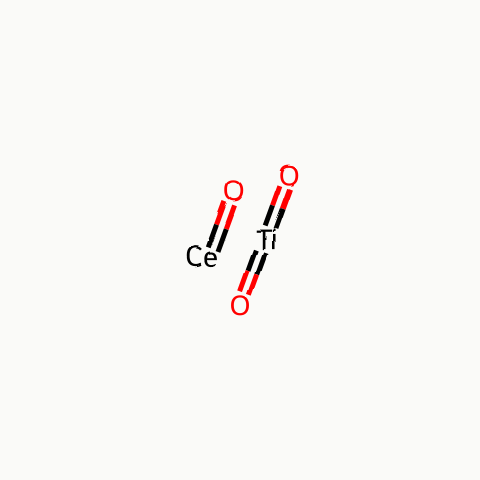 [O]=[Ce].[O]=[Ti]=[O]